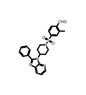 Cc1cc(S(=O)(=O)N2CCC(n3c(-c4ccccc4)nc4cccnc43)CC2)ccc1C=O